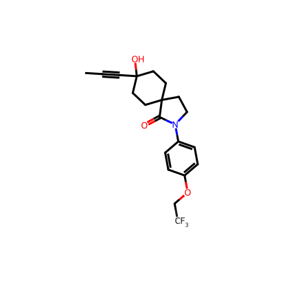 CC#CC1(O)CCC2(CCN(c3ccc(OCC(F)(F)F)cc3)C2=O)CC1